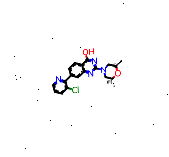 C[C@@H]1CN(c2nc(O)c3ccc(-c4ncccc4Cl)cc3n2)C[C@@H](C)O1